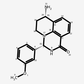 COc1cccc([C@H]2NC(=O)c3cccc4c3N2CC[C@@H]4N)c1